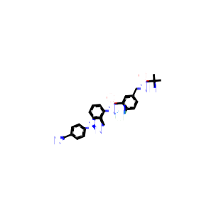 CC(C)(C)C(=O)NCc1ccc(Cl)c(C(=O)Nc2cccc3c2cnn3-c2ccc(C#N)cc2)c1